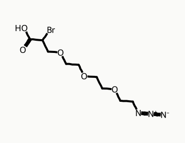 [N-]=[N+]=NCCOCCOCCOCC(Br)C(=O)O